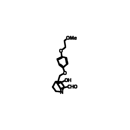 COCCOc1ccc(OCC2(O)C3CCN(CC3)C2C=O)cc1